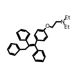 CCN(CC)CCOc1ccc(C(=C(Cc2ccccc2)c2ccccc2)c2ccccc2)cc1